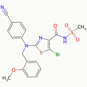 COc1ccccc1CN(c1ccc(C#N)cc1)c1nc(C(=O)NS(C)(=O)=O)c(Br)s1